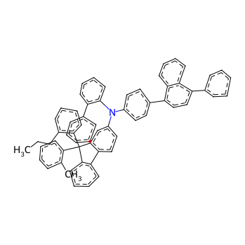 CCCc1ccccc1C1(c2ccccc2C)c2ccccc2-c2ccc(N(c3ccc(-c4ccc(-c5ccccc5)c5ccccc45)cc3)c3ccccc3-c3ccccc3)cc21